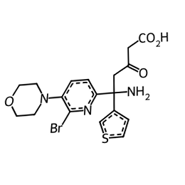 NC(CC(=O)CC(=O)O)(c1ccsc1)c1ccc(N2CCOCC2)c(Br)n1